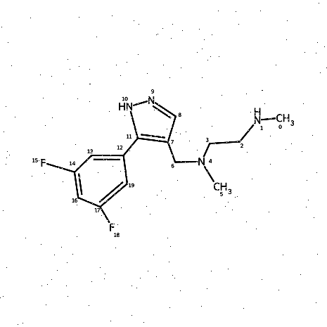 CNCCN(C)Cc1cn[nH]c1-c1cc(F)cc(F)c1